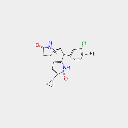 CCc1ccc(C(C[C@H]2CCC(=O)N2)c2ccc(C3CC3)c(=O)[nH]2)cc1Cl